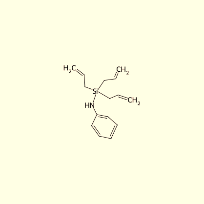 C=CC[Si](CC=C)(CC=C)Nc1ccccc1